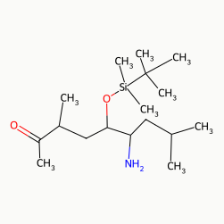 CC(=O)C(C)CC(O[Si](C)(C)C(C)(C)C)C(N)CC(C)C